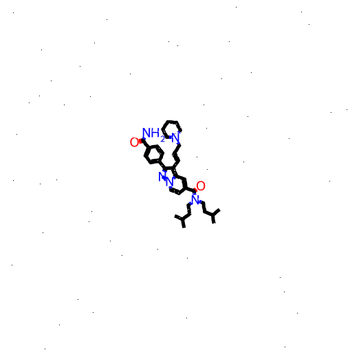 CC(C)CCN(CCC(C)C)C(=O)c1ccn2nc(-c3ccc(C(N)=O)cc3)c(/C=C/CN3CCCCC3)c2c1